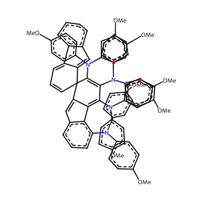 COc1ccc(N(C2=C3C(=Cc4cccc(N(c5ccc(OC)cc5)c5ccc(OC)cc5)c43)C3(C=CC=C4C3=Cc3ccccc34)C(N(c3ccc(OC)cc3)c3ccc(OC)cc3)=C2N(c2ccc(OC)cc2)c2ccc(OC)cc2)c2ccc(OC)cc2)cc1